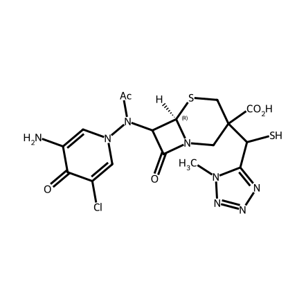 CC(=O)N(C1C(=O)N2CC(C(=O)O)(C(S)c3nnnn3C)CS[C@H]12)n1cc(N)c(=O)c(Cl)c1